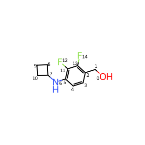 OCc1ccc(NC2CCC2)c(F)c1F